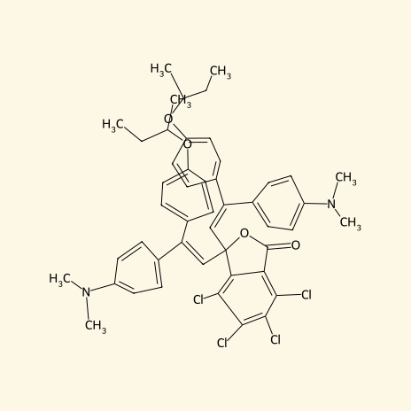 CCC(C)Oc1ccc(C(=CC2(C=C(c3ccc(OC(C)CC)cc3)c3ccc(N(C)C)cc3)OC(=O)c3c(Cl)c(Cl)c(Cl)c(Cl)c32)c2ccc(N(C)C)cc2)cc1